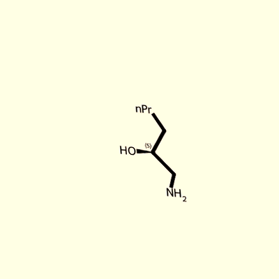 CCCC[C@H](O)CN